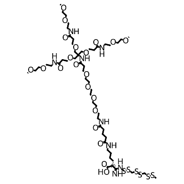 COCCOCCNC(=O)CCOCC(COCCC(=O)NCCOCCOC)(COCCC(=O)NCCOCCOC)NC(=O)CCOCCOCCOCCOCCNC(=O)CCCC(=O)NCCCC[C@H](C(=N)NSSCSSCSSC)C(=O)O